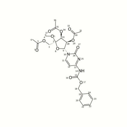 CO[C@]1(COC(C)=O)O[C@@H](n2ccc(NC(=O)OCc3ccccc3)nc2=O)[C@H](OC(C)=O)[C@@H]1OC(C)=O